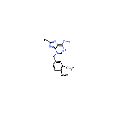 CCNc1ncn(Cc2ccc(OC)c(C(=O)O)c2)c2nc(C(C)C)nc1-2